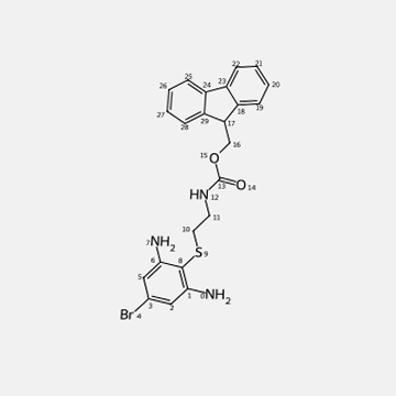 Nc1cc(Br)cc(N)c1SCCNC(=O)OCC1c2ccccc2-c2ccccc21